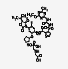 CC(C)=C1OC(=O)N(c2cc(OC3CCCC3)c(Cl)cc2F)C1=O.COc1nc(C)nc(NC(=O)NS(=O)(=O)c2ccsc2C(=O)O)n1.O=C(O)CNCP(=O)(O)O